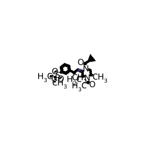 C=C(/C=C1\C(=C)N(C(C)=O)C(C)CN1C(=O)C1CC1)c1cccc(S(=O)(=O)N(C)C)c1